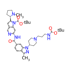 Cc1nn(C2CCN(CCCNC(=O)OC(C)(C)C)CC2)c2cc(C(=O)Nc3cc4c(cn3)cc([C@H]3CCCN3C)n4C(=O)OC(C)(C)C)ccc12